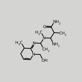 CC1CC=CN(CO)/C1=N\C(C)N(C)C(N)C(C)C(N)=O